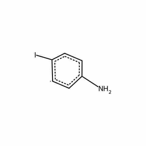 Nc1c[c]c(I)cc1